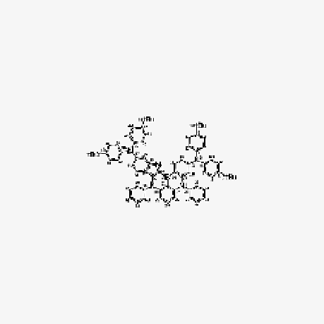 CC(C)(C)c1ccc(N(c2ccc(C(C)(C)C)cc2)c2ccc3c(c2)N(c2ccccc2)c2cccc4c2B3c2nc3cc(N(c5ccc(C(C)(C)C)cc5)c5ccc(C(C)(C)C)cc5)ccn3c2N4c2ccccc2)cc1